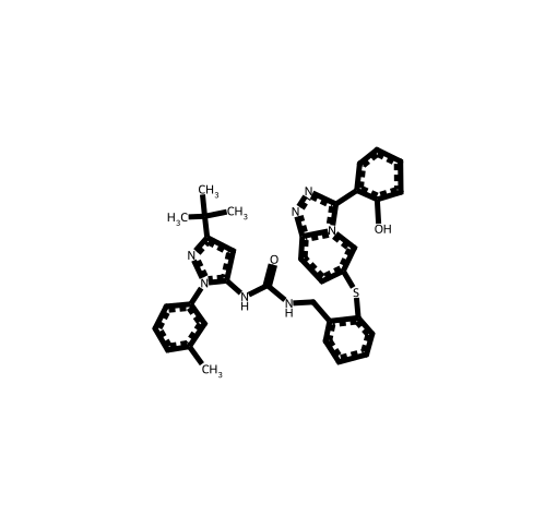 Cc1cccc(-n2nc(C(C)(C)C)cc2NC(=O)NCc2ccccc2Sc2ccc3nnc(-c4ccccc4O)n3c2)c1